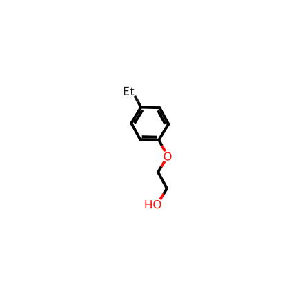 CCc1ccc(OCCO)cc1